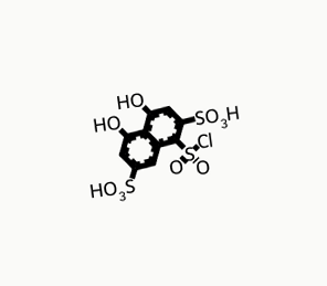 O=S(=O)(O)c1cc(O)c2c(O)cc(S(=O)(=O)O)c(S(=O)(=O)Cl)c2c1